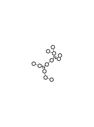 c1ccc(-c2ccc(N(c3ccc(-c4ccc(N(c5ccc(-c6ccccc6)c(-c6ccccc6)c5)c5cccc6ccccc56)cc4)cc3)c3ccc(-c4cccc(-c5ccccc5)c4)cc3)cc2)cc1